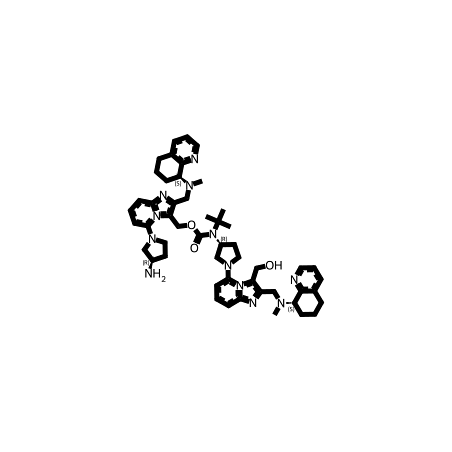 CN(Cc1nc2cccc(N3CC[C@@H](N)C3)n2c1COC(=O)N([C@@H]1CCN(c2cccc3nc(CN(C)[C@H]4CCCc5cccnc54)c(CO)n23)C1)C(C)(C)C)[C@H]1CCCc2cccnc21